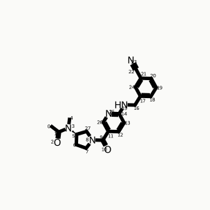 CC(=O)N(C)[C@H]1CCN(C(=O)c2ccc(NCc3cccc(C#N)c3)nc2)C1